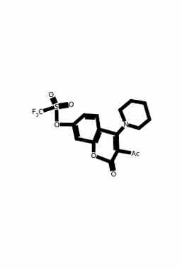 CC(=O)c1c(N2CCCCC2)c2ccc(OS(=O)(=O)C(F)(F)F)cc2oc1=O